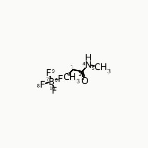 CCC(=O)NC.F[B-](F)(F)F